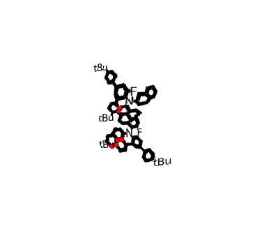 CC(C)(C)c1ccc(-c2cc(F)c(N(c3ccc4ccccc4c3)c3ccc4ccc5c(N(c6ccc7ccccc7c6)c6c(F)cc(-c7ccc(C(C)(C)C)cc7)cc6-c6ccc(C(C)(C)C)cc6)ccc6ccc3c4c65)c(-c3ccc(C(C)(C)C)cc3)c2)cc1